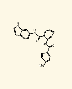 CC(C)(C)c1ccc(C(=O)Nc2ccccc2C(=O)Nc2ccc3cc[nH]c3c2)cc1